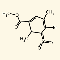 COC(=O)C1=CC(C)=C(Br)C(=S(=O)=O)C1C